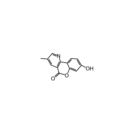 Cc1cnc2c(c1)c(=O)oc1cc(O)ccc12